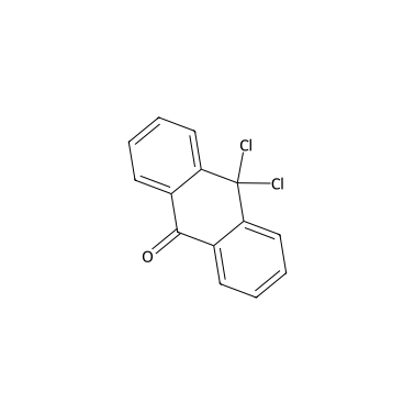 O=C1c2ccccc2C(Cl)(Cl)c2ccccc21